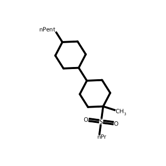 CCCCCC1CCC(C2CCC(C)(S(=O)(=O)CCC)CC2)CC1